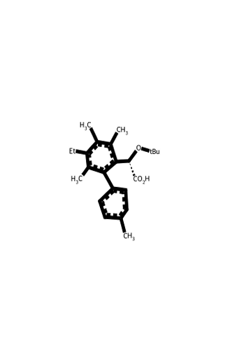 CCc1c(C)c(C)c([C@H](OC(C)(C)C)C(=O)O)c(-c2ccc(C)cc2)c1C